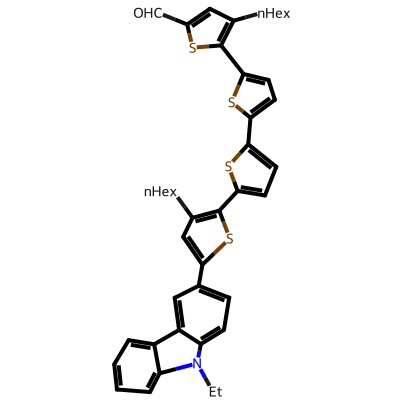 CCCCCCc1cc(C=O)sc1-c1ccc(-c2ccc(-c3sc(-c4ccc5c(c4)c4ccccc4n5CC)cc3CCCCCC)s2)s1